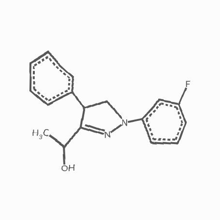 CC(O)C1=NN(c2cccc(F)c2)CC1c1ccccc1